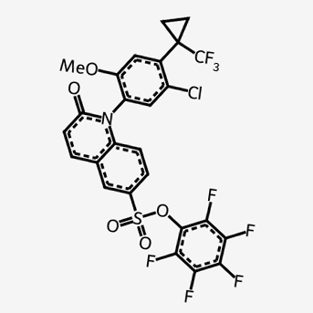 COc1cc(C2(C(F)(F)F)CC2)c(Cl)cc1-n1c(=O)ccc2cc(S(=O)(=O)Oc3c(F)c(F)c(F)c(F)c3F)ccc21